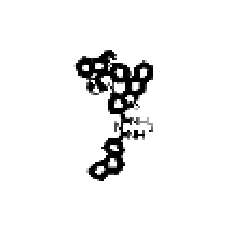 N=C(/N=C(\N)c1ccc(N2c3ccccc3C3(c4ccccc4-c4ccccc43)c3ccccc32)c2c1sc1cc3ccccc3cc12)c1ccc2c(ccc3ccccc32)c1